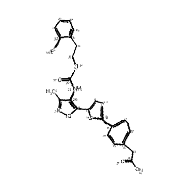 Cc1noc(-c2cnc(-c3ccc(CC(=O)O)cc3)s2)c1NC(=O)OCCc1ccccc1F